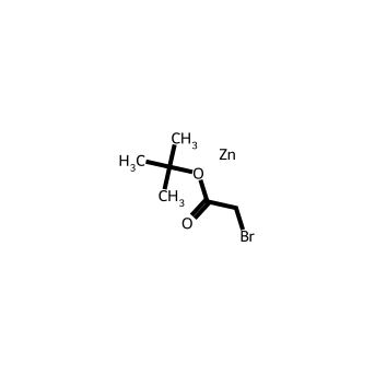 CC(C)(C)OC(=O)CBr.[Zn]